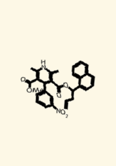 C=CCC(OC(=O)C1=C(C)NC(C)=C(C(=O)OC)C1c1cccc([N+](=O)[O-])c1)c1cccc2ccccc12